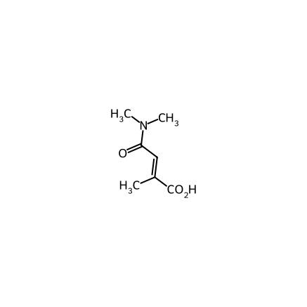 C/C(=C\C(=O)N(C)C)C(=O)O